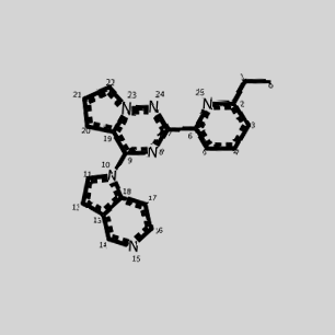 CCc1cccc(-c2nc(-n3ccc4cnccc43)c3cccn3n2)n1